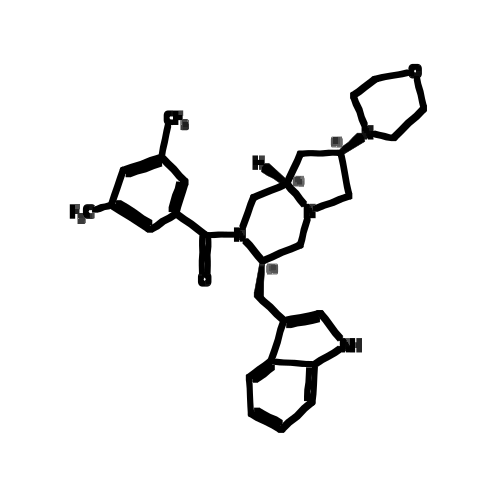 O=C(c1cc(C(F)(F)F)cc(C(F)(F)F)c1)N1C[C@@H]2C[C@@H](N3CCOCC3)CN2C[C@H]1Cc1c[nH]c2ccccc12